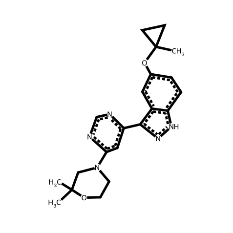 CC1(C)CN(c2cc(-c3n[nH]c4ccc(OC5(C)CC5)cc34)ncn2)CCO1